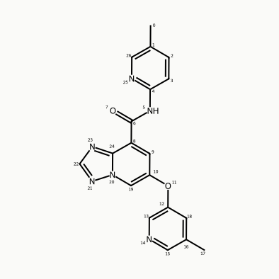 Cc1ccc(NC(=O)c2cc(Oc3cncc(C)c3)cn3ncnc23)nc1